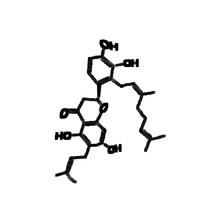 CC(C)=CCCC(C)=CCc1c([C@@H]2CC(=O)c3c(cc(O)c(CC=C(C)C)c3O)O2)ccc(O)c1O